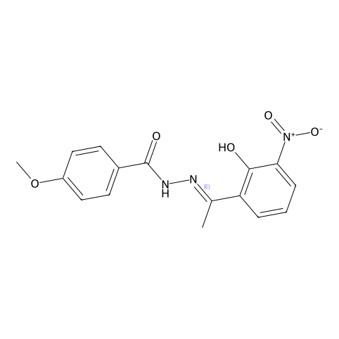 COc1ccc(C(=O)N/N=C(\C)c2cccc([N+](=O)[O-])c2O)cc1